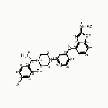 CC(=O)Nc1nc2c(Oc3cc(N4CCN([C@@H](C)c5ccc(F)cc5F)CC4)ncn3)cccc2s1